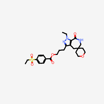 CCn1nc(CCCOC(=O)c2ccc(S(=O)(=O)CC)cc2)c2c1C(=O)NCC1(CCOCC1)C2